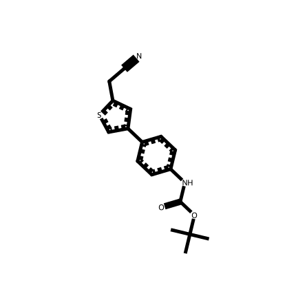 CC(C)(C)OC(=O)Nc1ccc(-c2csc(CC#N)c2)cc1